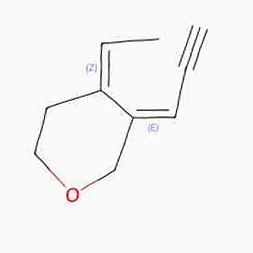 C#C/C=C1/COCC/C1=C/C